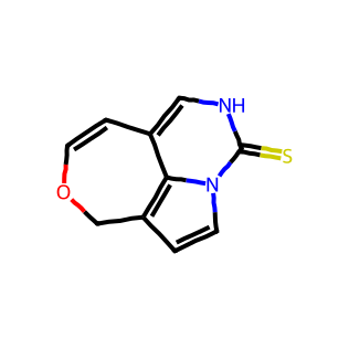 S=c1[nH]cc2c3c(ccn13)COC=C2